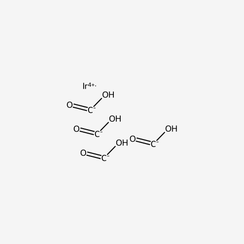 O=[C-]O.O=[C-]O.O=[C-]O.O=[C-]O.[Ir+4]